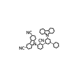 N#Cc1ccc2c(c1)c1cc(C#N)ccc1n2-c1cccc(-c2cc(-c3ccccc3)cc(-n3c4ccccc4c4ccccc43)c2)c1C#N